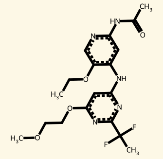 CCOc1cnc(NC(C)=O)cc1Nc1cc(OCCOC)nc(C(C)(F)F)n1